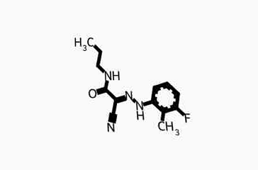 CCCNC(=O)/C(C#N)=N/Nc1cccc(F)c1C